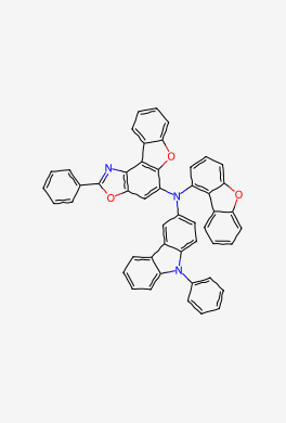 c1ccc(-c2nc3c(cc(N(c4ccc5c(c4)c4ccccc4n5-c4ccccc4)c4cccc5oc6ccccc6c45)c4oc5ccccc5c43)o2)cc1